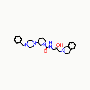 O=C(NC[C@H](O)CN1CCc2ccccc2C1)N1CCCC(N2CCN(Cc3ccccc3)CC2)C1